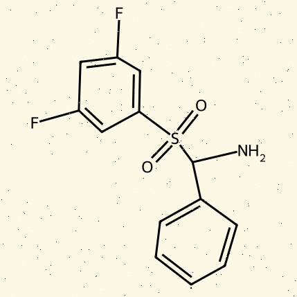 NC(c1cc[c]cc1)S(=O)(=O)c1cc(F)cc(F)c1